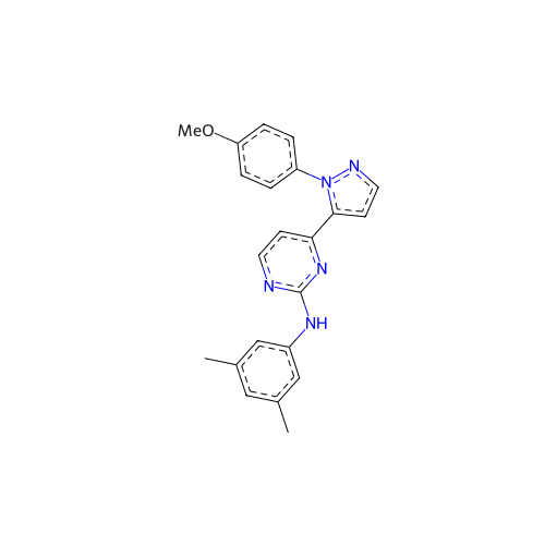 COc1ccc(-n2nccc2-c2ccnc(Nc3cc(C)cc(C)c3)n2)cc1